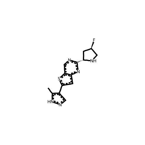 Cc1[nH]ncc1-c1cc2nc([C@@H]3C[C@@H](F)CN3)ncc2s1